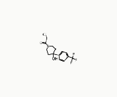 O=C(CCl)N1CCC(O)(c2ccc(C(F)(F)F)cc2)CC1